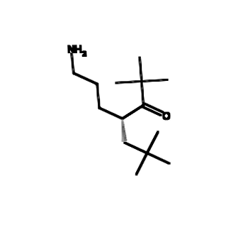 CC(C)(C)C[C@H](CCCN)C(=O)C(C)(C)C